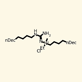 CCCCCCCCCCCCCCNC(N)=N[N+](C)(CC)CCCCCCCCCCCCCC.[Cl-]